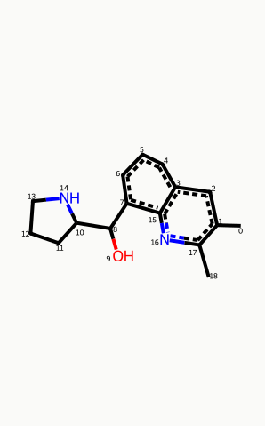 Cc1cc2cccc(C(O)C3CCCN3)c2nc1C